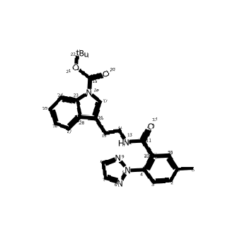 Cc1ccc(-n2nccn2)c(C(=O)NCCc2cn(C(=O)OC(C)(C)C)c3ccccc23)c1